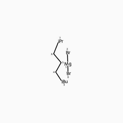 [Br][Mg][Br].[CH2]CC(C)CCCC(C)C